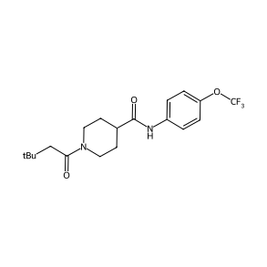 CC(C)(C)CC(=O)N1CCC(C(=O)Nc2ccc(OC(F)(F)F)cc2)CC1